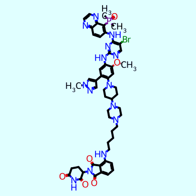 COc1cc(N2CCC(N3CCN(CCCCCNc4cccc5c4C(=O)N(C4CCC(=O)NC4=O)C5=O)CC3)CC2)c(-c2cnn(C)c2)cc1Nc1ncc(Br)c(Nc2ccc3nccnc3c2P(C)(C)=O)n1